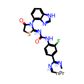 CCC/C=N\C(=N/C)c1ccc(NC(=O)/N=C2\SCC(=O)N2c2cccc3[nH]cnc23)c(F)c1